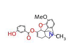 COc1ccc2c3c1OC1C(OC(=O)c4cccc(O)c4)=CCC4C(C2)N(C)CCC314